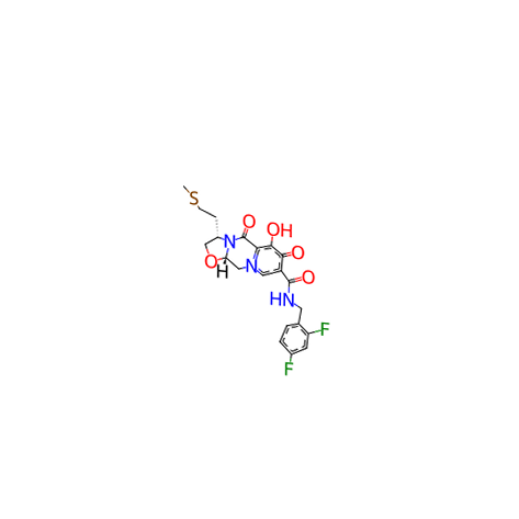 CSCC[C@H]1CO[C@H]2Cn3cc(C(=O)NCc4ccc(F)cc4F)c(=O)c(O)c3C(=O)N12